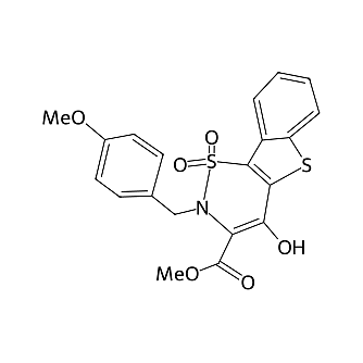 COC(=O)C1=C(O)c2sc3ccccc3c2S(=O)(=O)N1Cc1ccc(OC)cc1